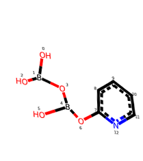 OB(O)OB(O)Oc1ccccn1